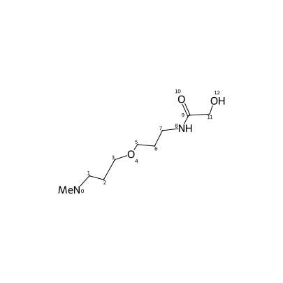 CNCCCOCCCNC(=O)CO